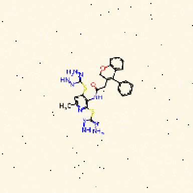 Cc1cc(SC(N=N)=NN)c(NC(=O)CC2=C(c3ccccc3)c3ccccc3OC2)c(SC(N=N)=NN)n1